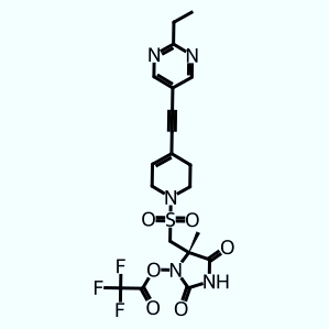 CCc1ncc(C#CC2=CCN(S(=O)(=O)C[C@]3(C)C(=O)NC(=O)N3OC(=O)C(F)(F)F)CC2)cn1